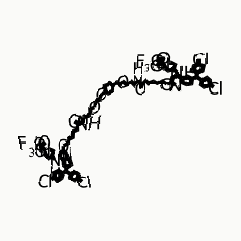 O=C(CCCCCOc1cc(NC2CCN(S(=O)(=O)C(F)(F)F)CC2)c2cc(C(c3ccc(Cl)cc3)c3ccc(Cl)cc3)ccc2n1)NCCCOCCOC1CCC(CCOCCCNC(=O)CCCCCOc2cc(NC3CCN(S(=O)(=O)C(F)(F)F)CC3)c3cc(C(c4ccc(Cl)cc4)c4ccc(Cl)cc4)ccc3n2)CC1